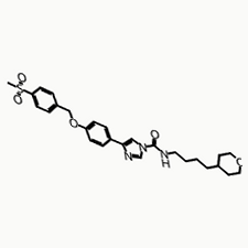 CS(=O)(=O)c1ccc(COc2ccc(-c3cn(C(=O)NCCCCC4CCOCC4)cn3)cc2)cc1